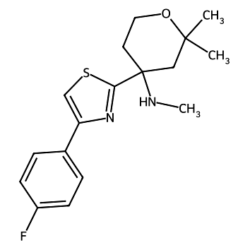 CNC1(c2nc(-c3ccc(F)cc3)cs2)CCOC(C)(C)C1